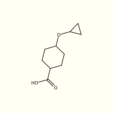 O=C(O)C1CCC(OC2CC2)CC1